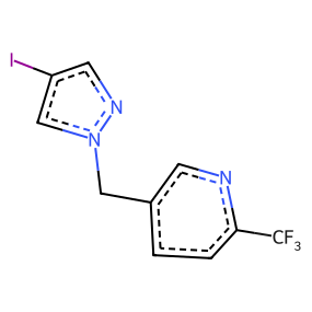 FC(F)(F)c1ccc(Cn2cc(I)cn2)cn1